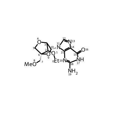 CCOC1C2OC[C@]1(COC)O[C@H]2n1cnc2c(=O)[nH]c(N)nc21